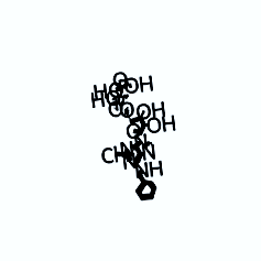 O=P(O)(O)CP(=O)(O)OC[C@H]1O[C@@H](n2cnc3c(NCc4ccccc4)nc(Cl)nc32)[C@H](O)[C@@H]1O